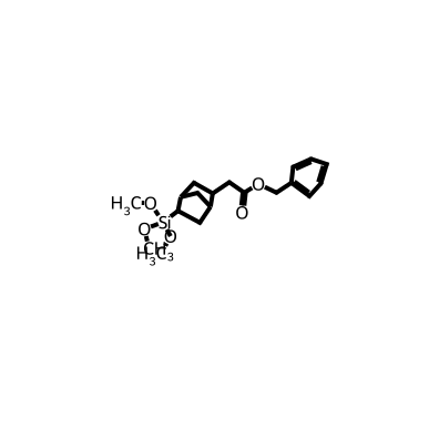 CO[Si](OC)(OC)C1CC2CC1CC2CC(=O)OCc1ccccc1